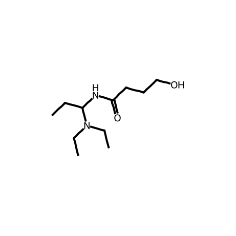 CCC(NC(=O)CCCO)N(CC)CC